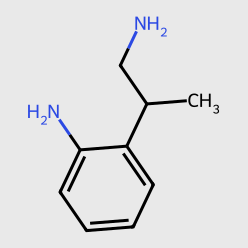 CC(CN)c1ccccc1N